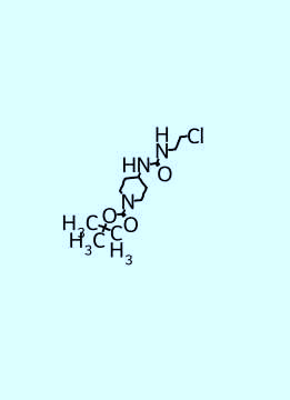 CC(C)(C)OC(=O)N1CCC(NC(=O)NCCCl)CC1